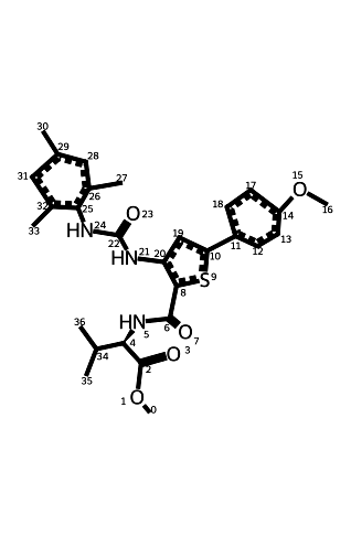 COC(=O)[C@H](NC(=O)c1sc(-c2ccc(OC)cc2)cc1NC(=O)Nc1c(C)cc(C)cc1C)C(C)C